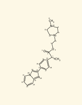 CC(C(=O)OCCN1CCN(C)CC1)c1ccc(-c2cn3ccccc3n2)cc1